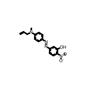 C=CCN(C)c1ccc(N=Nc2ccc([N+](=O)[O-])c(O)c2)cc1